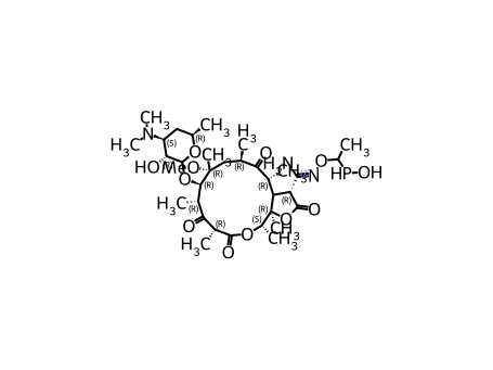 CO[C@]1(C)C[C@@H](C)C(=O)[C@H](C)C2[C@H](/C(N)=N/OC(C)PO)C(=O)O[C@@]2(C)[C@H](C)OC(=O)[C@H](C)C(=O)[C@H](C)[C@H]1OC1O[C@H](C)C[C@H](N(C)C)[C@H]1O